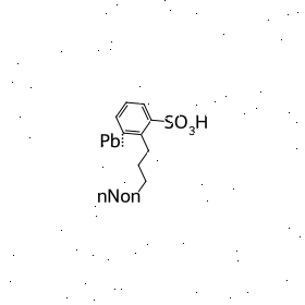 CCCCCCCCCCCCc1ccccc1S(=O)(=O)O.[Pb]